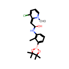 Cc1c(N[C@H](O)/C=C2/C(Cl)=CC=CN2C=O)cccc1B1OC(C)(C)C(C)(C)O1